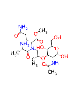 COC(=O)[C@@H](CCC(N)=O)N(CC(C)O[C@H]1[C@H](O)[C@@H](CO)O[C@H](O)[C@@H]1NC(C)=O)C(=O)[C@H](C)N